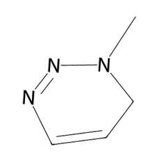 CN1CC=CN=N1